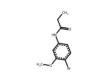 CCC(=O)Nc1ccc(Br)c(OC)c1